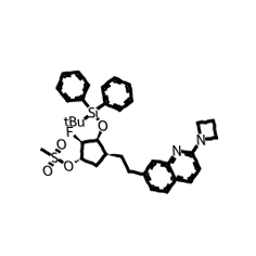 CC(C)(C)[Si](O[C@H]1[C@@H](CCc2ccc3ccc(N4CCC4)nc3c2)C[C@H](OS(C)(=O)=O)[C@H]1F)(c1ccccc1)c1ccccc1